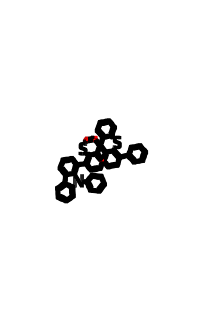 c1ccc(-c2cccc3c2Sc2ccccc2C32c3ccccc3Sc3c(-c4cccc5c6ccccc6n(-c6ccccc6)c45)cccc32)cc1